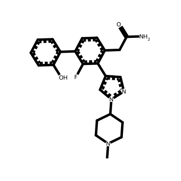 CN1CCC(n2cc(-c3c(CC(N)=O)ccc(-c4ccccc4O)c3F)cn2)CC1